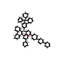 c1ccc(-c2ccc(-c3ccc(-c4ccc(N(c5ccc6c(c5)-c5ccccc5C6(c5ccccc5)c5ccccc5)c5c(-c6cccc(-c7ccccc7)c6)c6ccccc6c6ccccc56)cc4)cc3)cc2)cc1